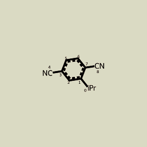 CC(C)c1cc(C#N)ccc1C#N